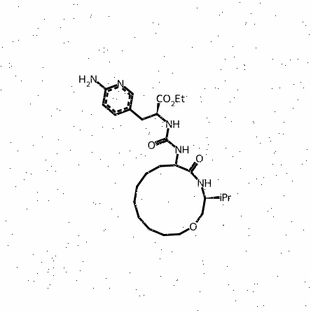 CCOC(=O)[C@H](Cc1ccc(N)nc1)NC(=O)NC1CCCCCCCCOC[C@H](C(C)C)NC1=O